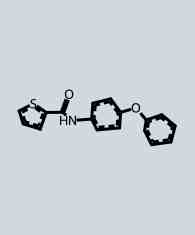 O=C(Nc1ccc(Oc2ccccc2)cc1)c1cccs1